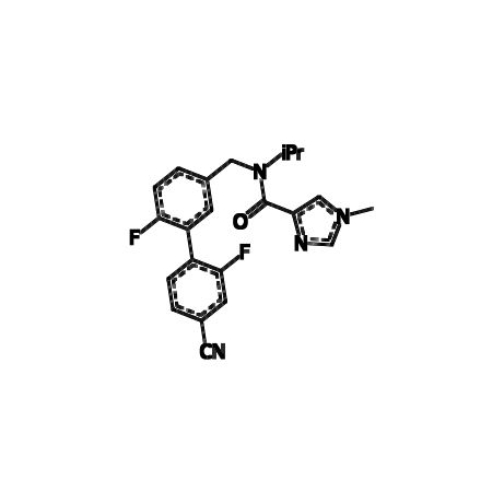 CC(C)N(Cc1ccc(F)c(-c2ccc(C#N)cc2F)c1)C(=O)c1cn(C)cn1